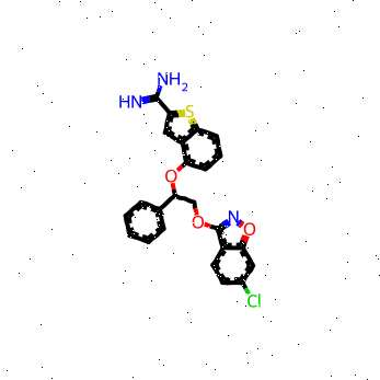 N=C(N)c1cc2c(OC(COc3noc4cc(Cl)ccc34)c3ccccc3)cccc2s1